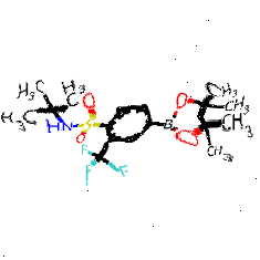 CC(C)(C)NS(=O)(=O)c1ccc(B2OC(C)(C)C(C)(C)O2)cc1C(F)(F)F